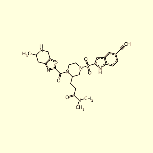 C#Cc1ccc2[nH]c(S(=O)(=O)N3CCN(C(=O)c4nc5c(s4)CNC(C)C5)C(CCC(=O)N(C)C)C3)cc2c1